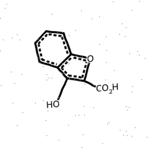 O=C(O)c1oc2ccccc2c1O